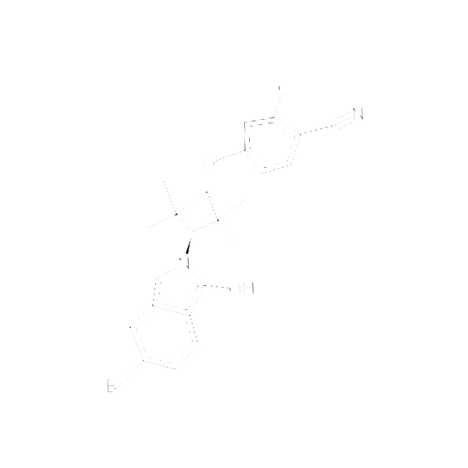 CC1(C)[C@H](Oc2ccc(C#N)c(Cl)c2)C(C)(C)[C@H]1n1cc2cc(Br)ccc2c1O